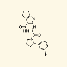 O=C(c1nc2sc3c(c2c(=O)[nH]1)CCC3)N1CCCC1c1cccc(F)c1